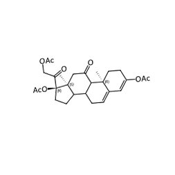 CC(=O)OCC(=O)[C@@]1(OC(C)=O)CCC2C3CC=C4C=C(OC(C)=O)CC[C@]4(C)C3C(=O)C[C@@]21C